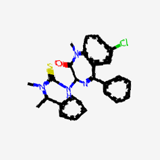 CC(c1ccccc1)N(C)C(=S)NC1N=C(c2ccccc2)c2cc(Cl)ccc2N(C)C1=O